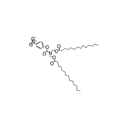 CCCCCCCCCCCCCC(=O)OCN(COC(=O)CCCCCCCCCCCCC)C(=O)Oc1ccc([N+](=O)[O-])cc1